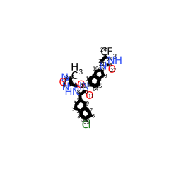 Cc1nonc1C(=O)NC(C(=O)Nc1ccc2c(c1)CC(N1C[C@@H](C(F)(F)F)NC1=O)C2)C1CCc2cc(Cl)ccc2C1